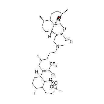 C[C@@H]1CC[C@H]2C(CN(C)CCCN(C)CC3=C(C(F)(F)F)O[C@@H]4O[C@]5(C)CCC6[C@H](C)CC[C@@H]3[C@]64OO5)=C(C(F)(F)F)O[C@@H]3O[C@]4(C)CCC1[C@]32OO4